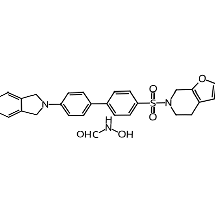 O=CNO.O=S(=O)(c1ccc(-c2ccc(N3Cc4ccccc4C3)cc2)cc1)N1CCc2ccoc2C1